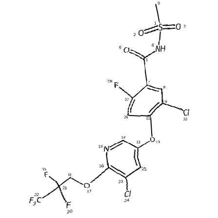 CS(=O)(=O)NC(=O)c1cc(Cl)c(Oc2cnc(OCC(F)(F)C(F)(F)F)c(Cl)c2)cc1F